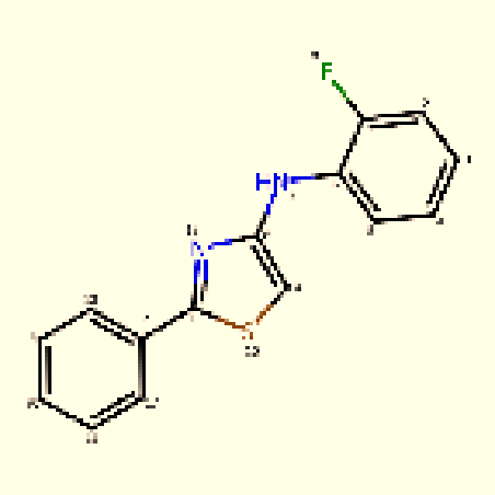 Fc1ccccc1Nc1csc(-c2ccccc2)n1